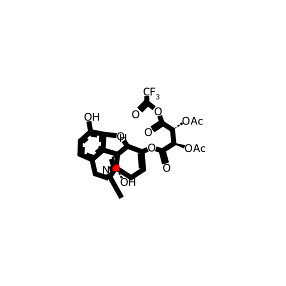 CC(=O)O[C@@H](C(=O)OC(=O)C(F)(F)F)[C@@H](OC(C)=O)C(=O)OC1=CC[C@@]2(O)C3Cc4ccc(O)c5c4[C@@]2(CCN3C)[C@H]1O5